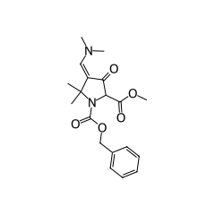 COC(=O)C1C(=O)/C(=C\N(C)C)C(C)(C)N1C(=O)OCc1ccccc1